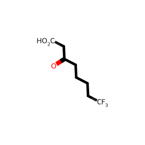 O=C(O)CC(=O)CCCCC(F)(F)F